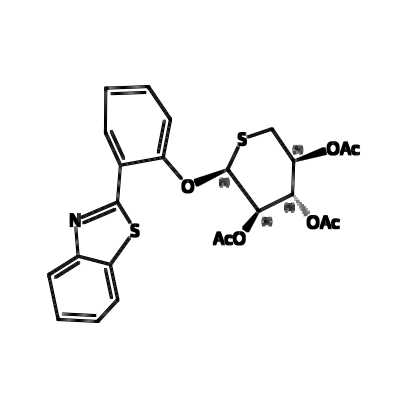 CC(=O)O[C@@H]1[C@@H](OC(C)=O)[C@@H](Oc2ccccc2-c2nc3ccccc3s2)SC[C@H]1OC(C)=O